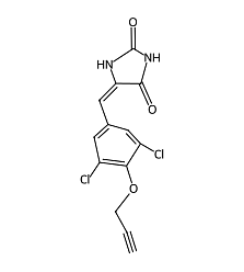 C#CCOc1c(Cl)cc(/C=C2/NC(=O)NC2=O)cc1Cl